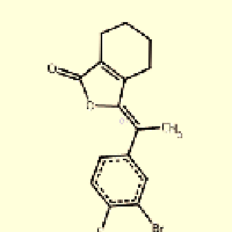 C/C(=C1/OC(=O)C2=C1CCCC2)c1ccc(F)c(Br)c1